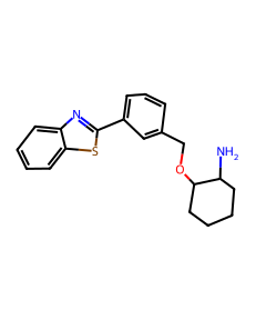 NC1CCCCC1OCc1cccc(-c2nc3ccccc3s2)c1